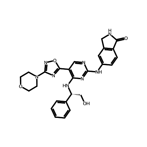 O=C1NCc2cc(Nc3ncc(-c4nc(N5CCOCC5)no4)c(N[C@H](CO)c4ccccc4)n3)ccc21